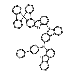 c1ccc(-c2ccc(N(c3ccc4c(c3)c3ccccc3n4-c3cccc4c3oc3ccc5c(c34)-c3ccccc3C53c4ccccc4-c4ccccc43)c3cccc4c3oc3ccccc34)cc2)cc1